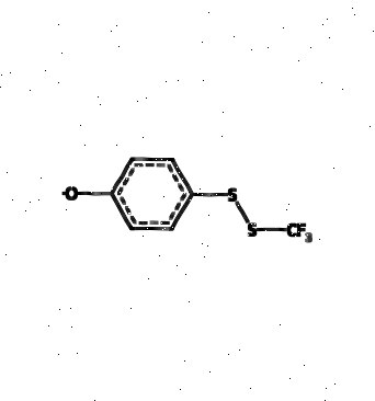 [O]c1ccc(SSC(F)(F)F)cc1